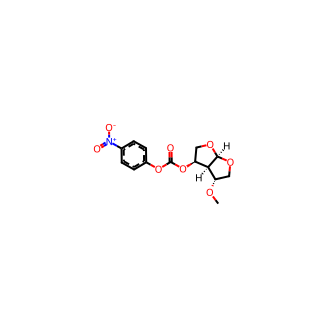 CO[C@H]1CO[C@@H]2OC[C@H](OC(=O)Oc3ccc([N+](=O)[O-])cc3)[C@@H]21